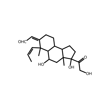 C/C=C\C1(C)/C(=C\C=O)CCC2C1C(O)CC1(C)C2CCC1(O)C(=O)CO